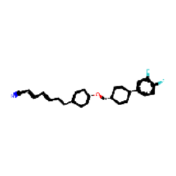 N#C/C=C/C=C/CC[C@H]1CC[C@H](OC[C@H]2CC[C@H](c3ccc(F)c(F)c3)CC2)CC1